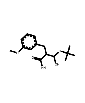 COc1cccc(CC(C([NH])=O)C(O)OC(C)(C)C)c1